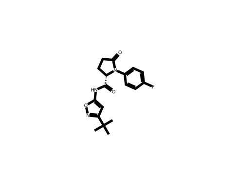 CC(C)(C)c1cc(NC(=O)[C@@H]2CCC(=O)N2c2ccc(F)cc2)on1